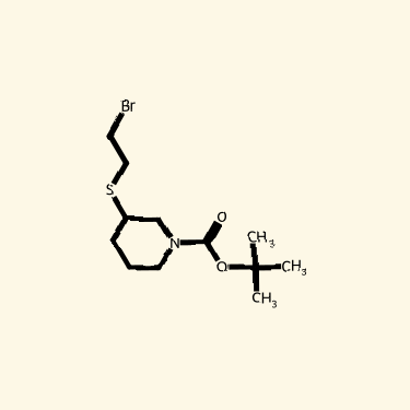 CC(C)(C)OC(=O)N1CCCC(SCCBr)C1